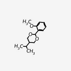 COc1ccccc1C1OCC(C(C)C)CO1